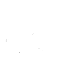 CC(C)OC(=O)C(C)SCCCCF